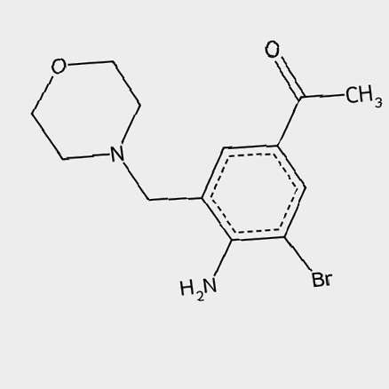 CC(=O)c1cc(Br)c(N)c(CN2CCOCC2)c1